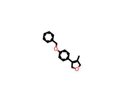 CC1=C(c2ccc(OCc3ccccc3)cc2)COC1